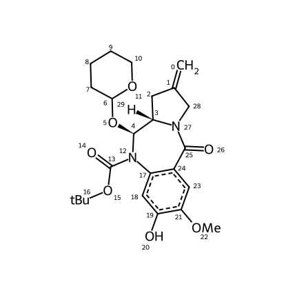 C=C1C[C@H]2[C@H](OC3CCCCO3)N(C(=O)OC(C)(C)C)c3cc(O)c(OC)cc3C(=O)N2C1